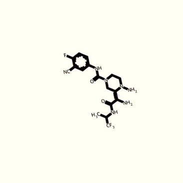 CC(NC(=O)/C(N)=C1\CN(C(=O)Nc2ccc(F)c(C#N)c2)CCN1N)C(F)(F)F